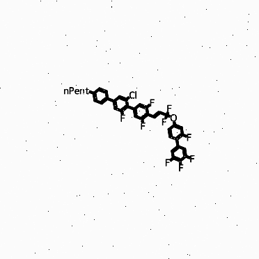 CCCCCc1ccc(-c2cc(F)c(-c3cc(F)c(/C=C/C(F)(F)Oc4ccc(-c5cc(F)c(F)c(F)c5)c(F)c4)c(F)c3)c(Cl)c2)cc1